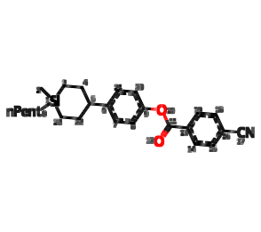 CCCCC[Si]1(C)CCC(c2ccc(OC(=O)c3ccc(C#N)cc3)cc2)CC1